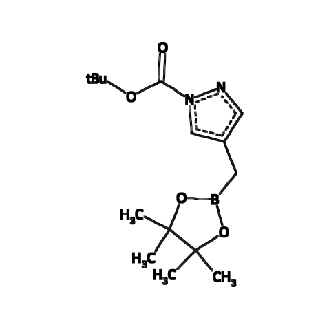 CC(C)(C)OC(=O)n1cc(CB2OC(C)(C)C(C)(C)O2)cn1